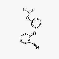 N#Cc1ccccc1Oc1cccc(OC(F)F)c1